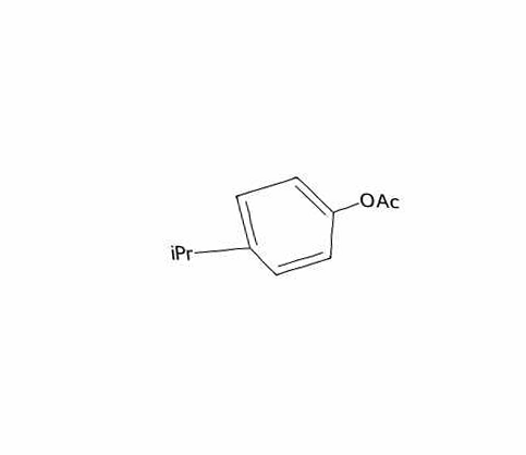 CC(=O)Oc1ccc(C(C)C)cc1